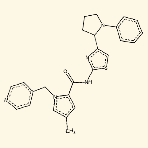 Cc1cc(C(=O)Nc2nc(C3CCCN3c3ccccc3)cs2)n(Cc2ccncc2)c1